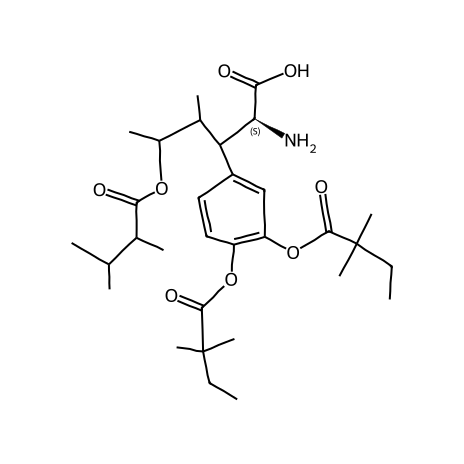 CCC(C)(C)C(=O)Oc1ccc(C(C(C)C(C)OC(=O)C(C)C(C)C)[C@H](N)C(=O)O)cc1OC(=O)C(C)(C)CC